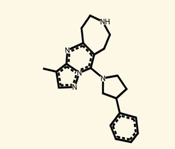 Cc1cnn2c(N3CCC(c4ccccc4)C3)c3c(nc12)CCNCC3